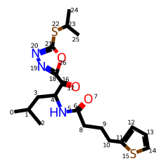 CC(C)CC(NC(=O)CCCc1cccs1)C(=O)c1nnc(SC(C)C)o1